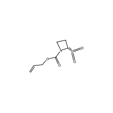 C=CCOC(=O)N1CCC1=S(=O)=O